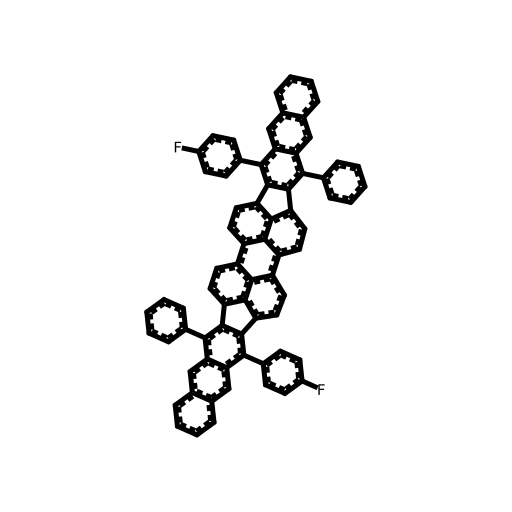 Fc1ccc(-c2c3c(c(-c4ccccc4)c4cc5ccccc5cc24)-c2ccc4c5ccc6c7c(ccc(c8ccc-3c2c48)c75)-c2c-6c(-c3ccc(F)cc3)c3cc4ccccc4cc3c2-c2ccccc2)cc1